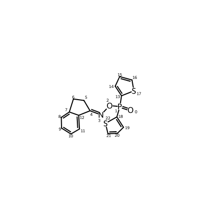 O=P(ON=C1CCc2ccccc21)(c1cccs1)c1cccs1